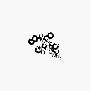 NC(=O)C(=O)C1(NC(=O)[C@@H]2C[C@H](n3ncccc3=O)CN2C(=O)/C(CC2CCCCC2)=N/C(=O)c2ccc3ccccc3c2)CCOCC1